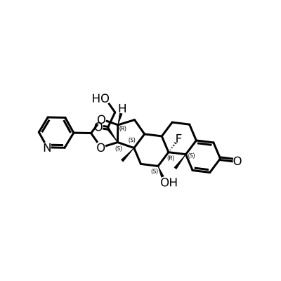 C[C@]12C=CC(=O)C=C1CCC1C3C[C@H]4OC(c5cccnc5)O[C@@]4(C(=O)CO)[C@@]3(C)C[C@H](O)[C@@]12F